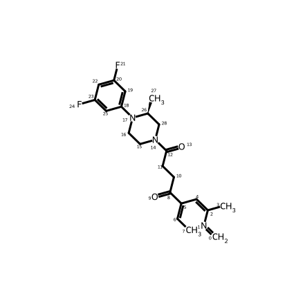 C=N/C(C)=C\C(=C/C)C(=O)CCC(=O)N1CCN(c2cc(F)cc(F)c2)[C@@H](C)C1